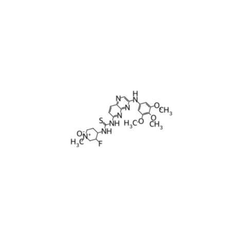 COc1cc(Nc2cnc3ccc(NC(=S)NC4CC[N+](C)([O-])CC4F)nc3n2)cc(OC)c1OC